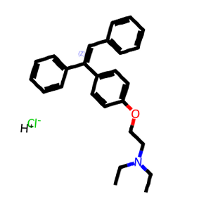 CCN(CC)CCOc1ccc(/C(=C\c2ccccc2)c2ccccc2)cc1.[Cl-].[H+]